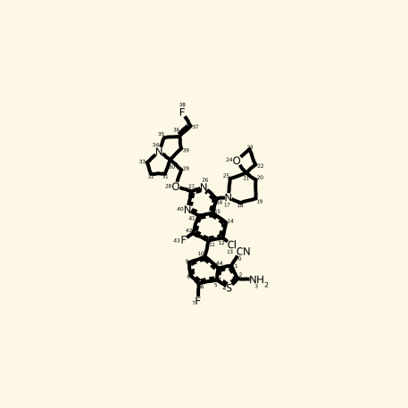 N#Cc1c(N)sc2c(F)ccc(-c3c(Cl)cc4c(N5CCCC6(CCO6)C5)nc(OCC56CCCN5C/C(=C\F)C6)nc4c3F)c12